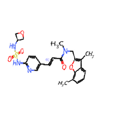 Cc1c(CN(C)C(=O)/C=C/c2ccc(NS(=O)(=O)NC3COC3)nc2)oc2c(C)cccc12